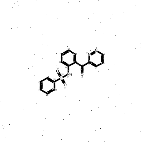 O=C(c1cccnn1)c1ccccc1NS(=O)(=O)c1ccccc1